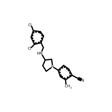 Cc1cc(N2CCC(NCc3ccc(Cl)cc3Cl)C2)ccc1C#N